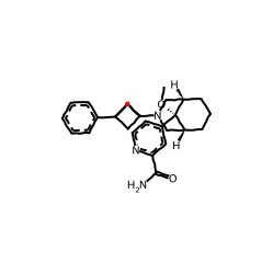 CO[C@@]1(c2ccnc(C(N)=O)c2)[C@@H]2CCC[C@H]1CN(C13CC(c4ccccc4)(C1)C3)C2